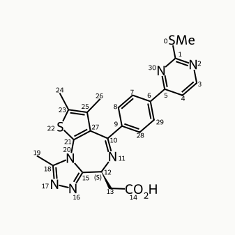 CSc1nccc(-c2ccc(C3=N[C@@H](CC(=O)O)c4nnc(C)n4-c4sc(C)c(C)c43)cc2)n1